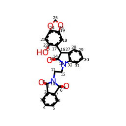 O=C1c2ccccc2C(=O)N1CCN1C(=O)C(c2cc3c(cc2O)OCO3)c2ccccc21